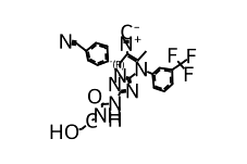 [C-]#[N+]C1=C(C)N(c2cccc(C(F)(F)F)c2)c2nc(NC(=O)NCCO)nn2[C@@H]1c1ccc(C#N)cc1